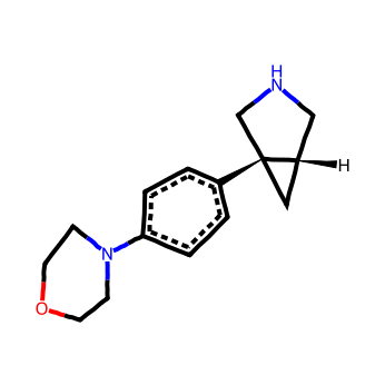 c1cc([C@@]23CNC[C@@H]2C3)ccc1N1CCOCC1